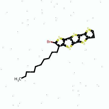 CCCCCCCCCCc1c(Br)sc2c1sc1c2sc2c3sccc3sc21